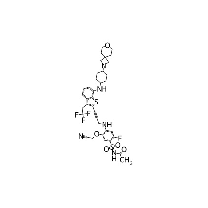 CC(=O)NS(=O)(=O)c1cc(OCC#N)c(NCC#Cc2sc3c(NC4CCC(N5CC6(CCOCC6)C5)CC4)cccc3c2CC(F)(F)F)cc1F